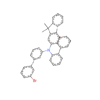 CC1(C)c2ccccc2-c2ccc(N(c3cccc(-c4cccc(Br)c4)c3)c3ccccc3-c3ccccc3)cc21